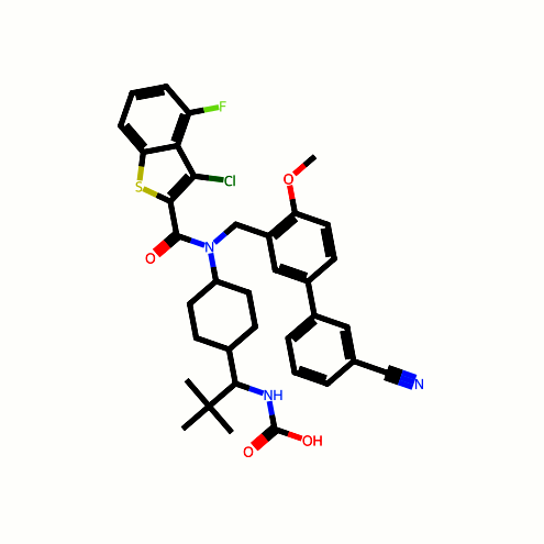 COc1ccc(-c2cccc(C#N)c2)cc1CN(C(=O)c1sc2cccc(F)c2c1Cl)C1CCC(C(NC(=O)O)C(C)(C)C)CC1